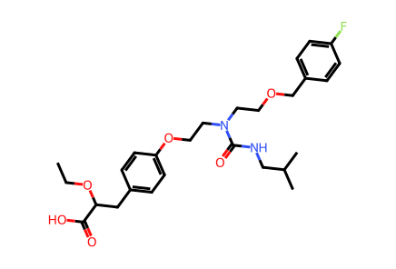 CCOC(Cc1ccc(OCCN(CCOCc2ccc(F)cc2)C(=O)NCC(C)C)cc1)C(=O)O